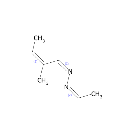 C\C=N/N=C\C(C)=C/C